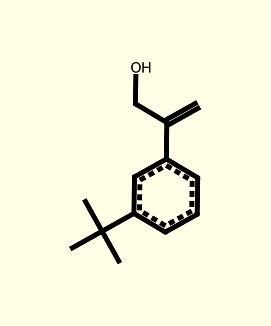 C=C(CO)c1cccc(C(C)(C)C)c1